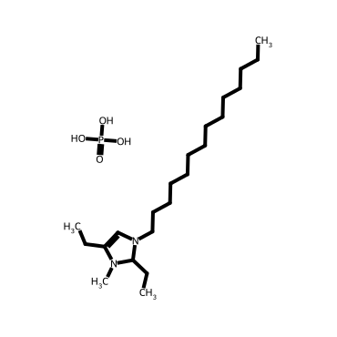 CCCCCCCCCCCCCCN1C=C(CC)N(C)C1CC.O=P(O)(O)O